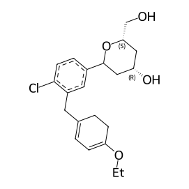 CCOC1=CC=C(Cc2cc(C3C[C@@H](O)C[C@@H](CO)O3)ccc2Cl)CC1